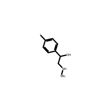 CC(C)(C)NCC(O)c1ccc(I)cc1